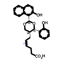 O=C(O)CC/C=C\C[C@@H]1CO[C@H](c2c(O)ccc3ccccc23)O[C@@H]1c1ccccc1O